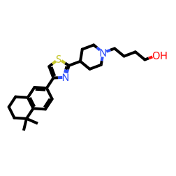 CC1(C)CCCc2cc(-c3csc(C4CCN(CCCCO)CC4)n3)ccc21